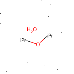 CC(C)OC(C)C.O